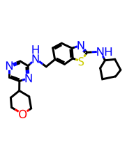 c1cc2nc(NC3CCCCC3)sc2cc1CNc1cncc(C2CCOCC2)n1